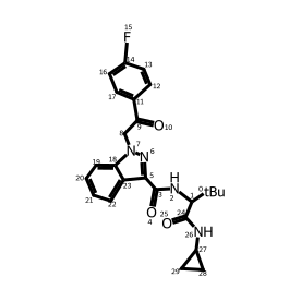 CC(C)(C)C(NC(=O)c1nn(CC(=O)c2ccc(F)cc2)c2ccccc12)C(=O)NC1CC1